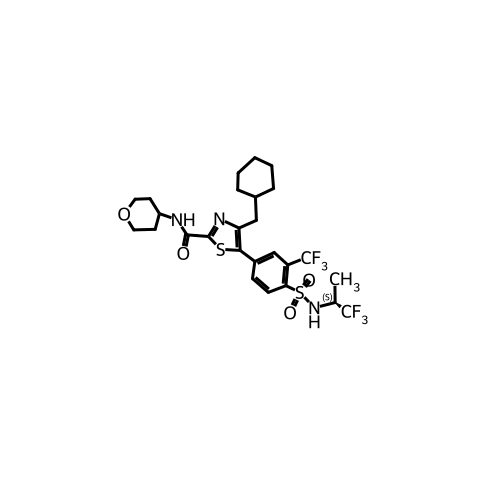 C[C@H](NS(=O)(=O)c1ccc(-c2sc(C(=O)NC3CCOCC3)nc2CC2CCCCC2)cc1C(F)(F)F)C(F)(F)F